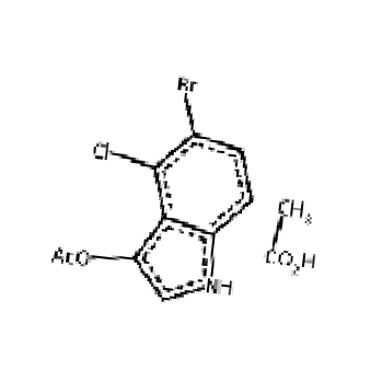 CC(=O)O.CC(=O)Oc1c[nH]c2ccc(Br)c(Cl)c12